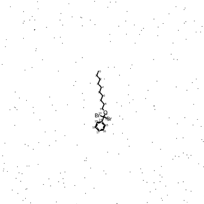 CCCCCCCCCCOC(Br)(Br)c1ccccc1